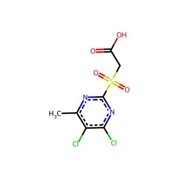 Cc1nc(S(=O)(=O)CC(=O)O)nc(Cl)c1Cl